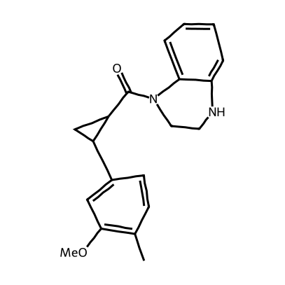 COc1cc(C2CC2C(=O)N2CCNc3ccccc32)ccc1C